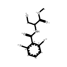 COC(=O)C(CCl)NC(=O)c1c(F)cccc1F